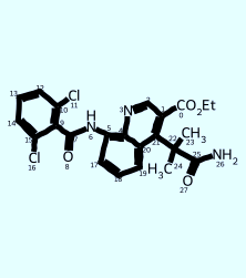 CCOC(=O)c1cnc2c(NC(=O)c3c(Cl)cccc3Cl)cccc2c1C(C)(C)C(N)=O